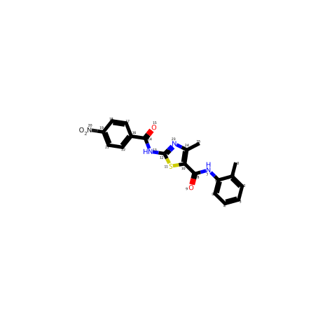 Cc1ccccc1NC(=O)c1sc(NC(=O)c2ccc([N+](=O)[O-])cc2)nc1C